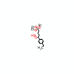 C=Cc1ccc(C(CCC[Si](OCC)(OCC)OCC)OO)cc1